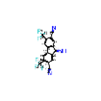 N#Cc1cc2c(cc1C(F)(F)F)-c1cc(C(F)(F)F)c(C#N)cc1C2=N